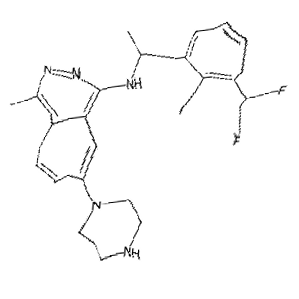 Cc1c(C(F)F)cccc1C(C)Nc1nnc(C)c2ccc(N3CCNCC3)cc12